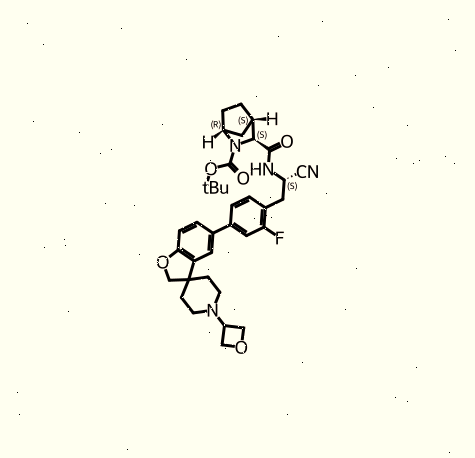 CC(C)(C)OC(=O)N1[C@@H]2CC[C@@H](C2)[C@H]1C(=O)N[C@H](C#N)Cc1ccc(-c2ccc3c(c2)C2(CCN(C4COC4)CC2)CO3)cc1F